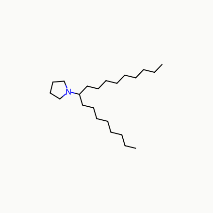 CCCCCCCCCC(CCCCCCCC)N1CCCC1